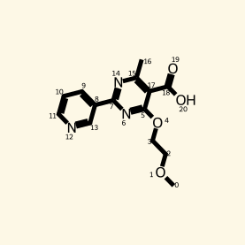 COCCOc1nc(-c2cccnc2)nc(C)c1C(=O)O